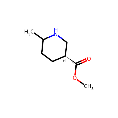 COC(=O)[C@@H]1CCC(C)NC1